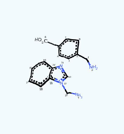 NCc1ccc(C(=O)O)cc1.NCn1cnc2ccccc21